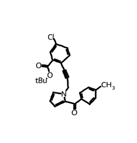 Cc1ccc(C(=O)c2cccn2CC#Cc2ccc(Cl)cc2C(=O)OC(C)(C)C)cc1